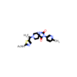 CC(=O)Nc1ncc([C@@H](C)N2CCC3(CC2)NC(=O)N(c2ccc(C)nc2)C3=O)s1